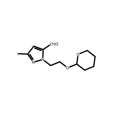 O=Cc1cc(I)nn1CCOC1CCCCO1